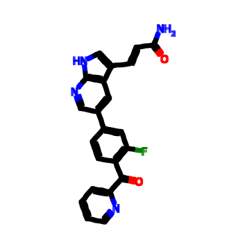 NC(=O)C=Cc1c[nH]c2ncc(-c3ccc(C(=O)c4ccccn4)c(F)c3)cc12